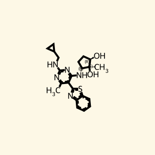 Cc1nc(NCC2CC2)nc(N[C@@H]2CC[C@@H](O)[C@@]2(C)O)c1-c1nc2ccccc2s1